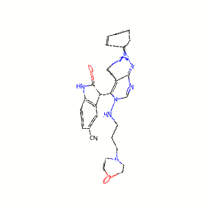 N#Cc1ccc2c(c1)C(C1=C3CN(C4CCCC4)N=C3N=CN1NCCCN1CCOCC1)C(=O)N2